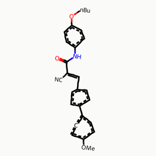 CCCCOc1ccc(NC(=O)C(C#N)=Cc2ccc(-c3ccc(OC)cc3)cc2)cc1